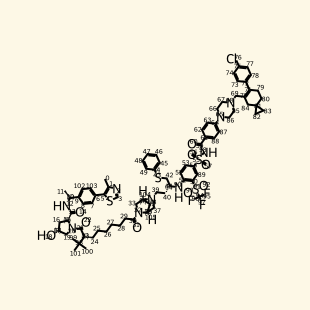 Cc1ncsc1-c1ccc([C@H](C)NC(=O)[C@@H]2C[C@@H](O)CN2C(=O)[C@@H](CCCCCCC(=O)N2C[C@H]3C[C@@H]2CN3CC[C@H](CSc2ccccc2)Nc2ccc(S(=O)(=O)NC(=O)c3ccc(N4CCN(CC5=C(c6ccc(Cl)cc6)CCC6(CC6)C5)CC4)cc3)cc2S(=O)(=O)C(F)(F)F)C(C)(C)C)cc1